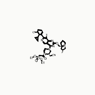 CCOP(=O)(CC(=O)N1CCN(c2nc(OC[C@@]34CCCN3C[C@H](F)C4)nc3c(F)c(-c4cccc(Cl)c4C4CC4)ncc23)C[C@@H]1CC#N)OCC